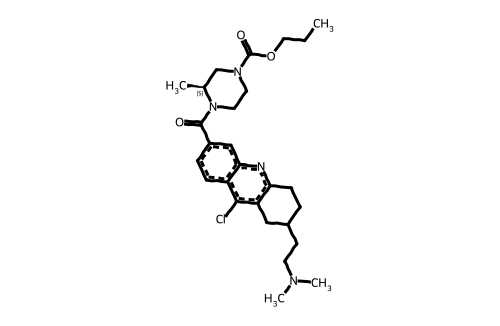 CCCOC(=O)N1CCN(C(=O)c2ccc3c(Cl)c4c(nc3c2)CCC(CCN(C)C)C4)[C@@H](C)C1